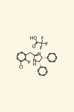 Fc1c(Cl)cccc1CC1=N[C@H](c2ccccc2)[C@H](c2ccccc2)N1.O=C(O)C(F)(F)F